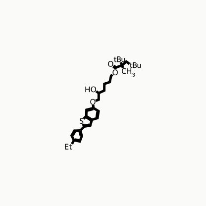 CCc1ccc(-c2cc3ccc(OCC(O)CCCCOC(=O)C(C)(CC(C)(C)C)C(C)(C)C)cc3s2)cc1